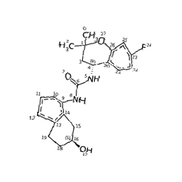 CC1(C)C[C@@H](NC(=O)Nc2cccc3c2C[C@@H](O)CC3)c2ccc(F)cc2O1